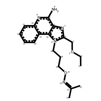 CCOCc1nc2c(N)nc3ccccc3c2n1CCCON=C(C)C